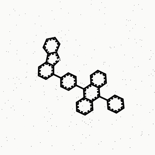 c1ccc(-c2c3ccccc3c(-c3ccc(-c4cccc5c4sc4ccccc45)cc3)c3ccccc23)cc1